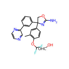 Cc1cc(C2(c3cccc(-c4cnccn4)c3)COC(N)=N2)ccc1OC(F)F.O=CO